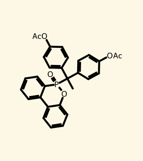 CC(=O)Oc1ccc(C(C)(c2ccc(OC(C)=O)cc2)P2(=O)Oc3ccccc3-c3ccccc32)cc1